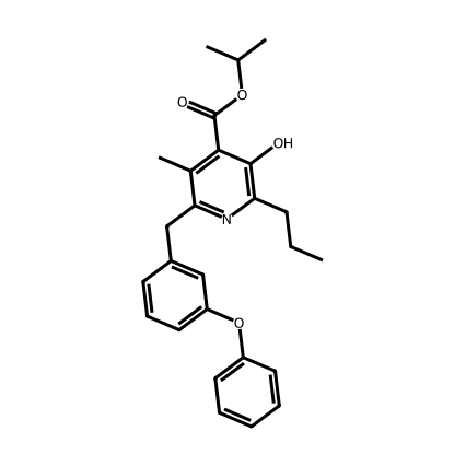 CCCc1nc(Cc2cccc(Oc3ccccc3)c2)c(C)c(C(=O)OC(C)C)c1O